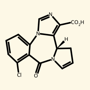 O=C(O)c1ncn2c1[C@@H]1CC=CN1C(=O)c1c(Cl)cccc1-2